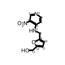 O=[N+]([O-])c1cnccc1NCc1ccc(CO)o1